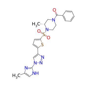 Cc1c[nH]c(-n2cc(-c3ccc(S(=O)(=O)N4CCN(C(=O)c5ccccc5)C[C@H]4C)s3)nn2)n1